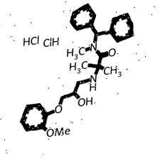 COc1ccccc1OCC(O)CNC(C)(C)C(=O)N(C)C(c1ccccc1)c1ccccc1.Cl.Cl